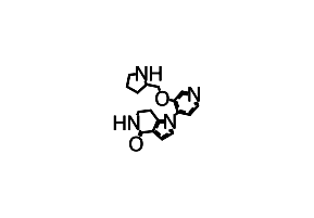 O=C1NCCc2c1ccn2-c1ccncc1OCC1CCCN1